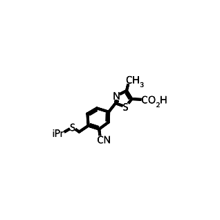 Cc1nc(-c2ccc(CSC(C)C)c(C#N)c2)sc1C(=O)O